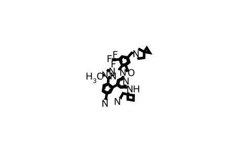 Cn1cnnc1-c1ccc(C#N)cc1-c1cc(NC2(CC#N)CCC2)nc(N2Cc3c(cc(CN4CCC5(CC5)C4)cc3C(F)(F)F)C2=O)c1